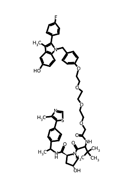 Cc1ncsc1-c1ccc(C(C)NC(=O)[C@@H]2C[C@@H](O)CN2C(=O)C(NC(=O)COCCOCCOCCOc2ccc(Cn3c(-c4ccc(F)cc4)c(C)c4cc(O)ccc43)cc2)C(C)(C)C)cc1